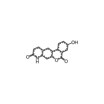 O=c1ccc2cc3c(cc2[nH]1)oc(=O)c1cc(O)ccc13